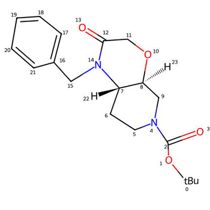 CC(C)(C)OC(=O)N1CC[C@H]2[C@H](C1)OCC(=O)N2Cc1ccccc1